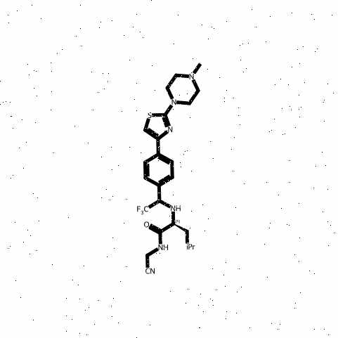 CC(C)C[C@H](NC(c1ccc(-c2csc(N3CCN(C)CC3)n2)cc1)C(F)(F)F)C(=O)NCC#N